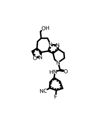 N#Cc1cc(NC(=O)N2CCc3nn4c(c3C2)-c2nocc2CC(CO)C4)ccc1F